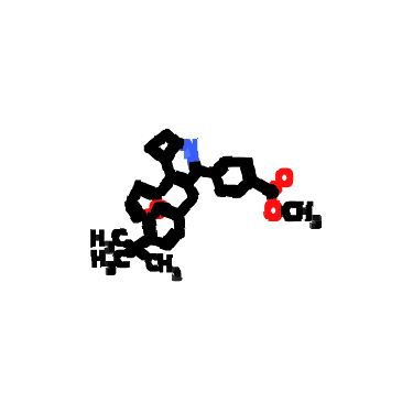 COC(=O)c1ccc(C2=NC3CCC3C(c3ccco3)=C2Cc2ccc(C(C)(C)C)cc2)cc1